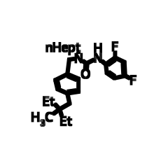 CCCCCCCN(Cc1ccc(CC(C)(CC)CC)cc1)C(=O)Nc1ccc(F)cc1F